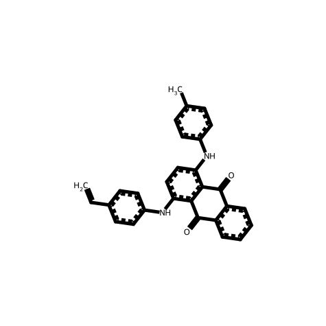 C=Cc1ccc(Nc2ccc(Nc3ccc(C)cc3)c3c2C(=O)c2ccccc2C3=O)cc1